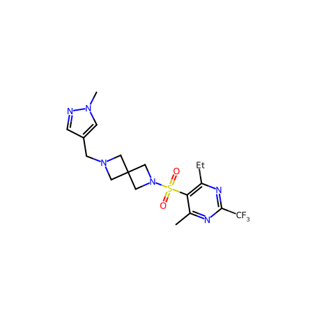 CCc1nc(C(F)(F)F)nc(C)c1S(=O)(=O)N1CC2(CN(Cc3cnn(C)c3)C2)C1